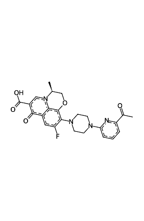 CC(=O)c1cccc(N2CCN(c3c(F)cc4c(=O)c(C(=O)O)cn5c4c3OC[C@@H]5C)CC2)n1